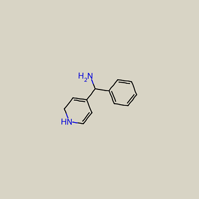 NC(C1=CCNC=C1)c1ccccc1